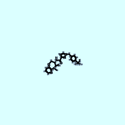 CN1C(=S)[C@@H](NC(=O)c2ncn(Cc3ccc(C(F)(F)F)cc3)n2)COc2cccnc21